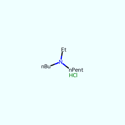 CCCCCN(CC)CCCC.Cl